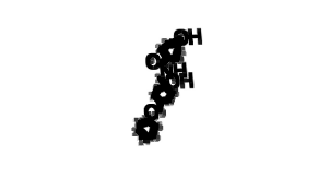 O=C(NCC1(O)CCC(COc2ccccc2)CC1)c1ccc(O)cc1